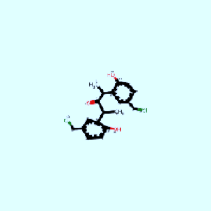 CC(C(=O)C(C)c1cc(CCl)ccc1O)c1cc(CCl)ccc1O